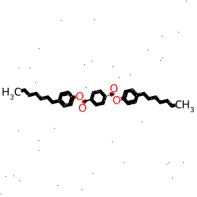 CCCCCCCc1ccc(OC(=O)[C@H]2CC[C@H](C(=O)Oc3ccc(CCCCCCC)cc3)CC2)cc1